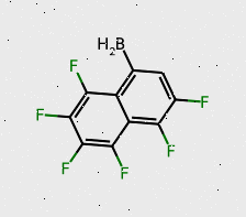 Bc1cc(F)c(F)c2c(F)c(F)c(F)c(F)c12